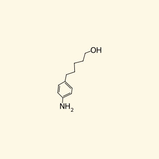 Nc1ccc(CCCCCO)cc1